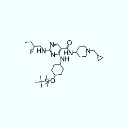 CCC(F)CNc1ncc(C(=O)NC2CCN(CC3CC3)CC2)c(NC2CCC(O[Si](C)(C)C(C)(C)C)CC2)n1